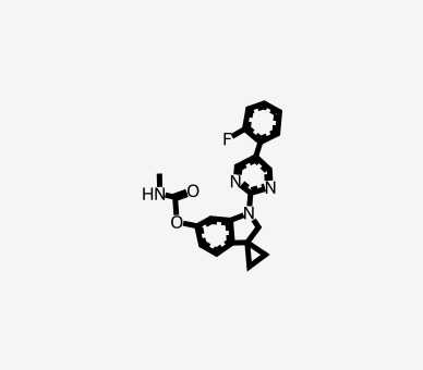 CNC(=O)Oc1ccc2c(c1)N(c1ncc(-c3ccccc3F)cn1)CC21CC1